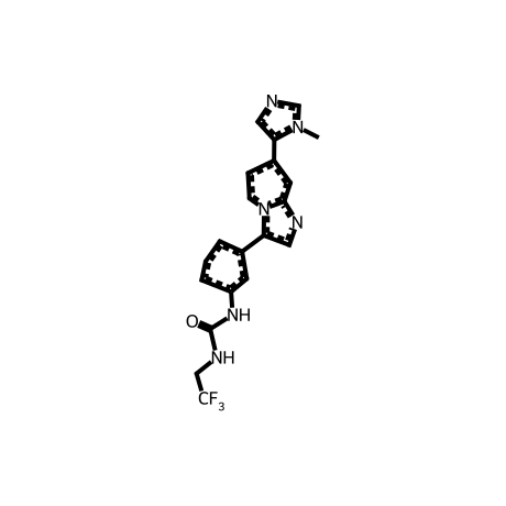 Cn1cncc1-c1ccn2c(-c3cccc(NC(=O)NCC(F)(F)F)c3)cnc2c1